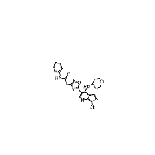 CCn1ncc2c(NC3CCOCC3)c(-c3nc(CC(=O)Nc4ccccc4)no3)cnc21